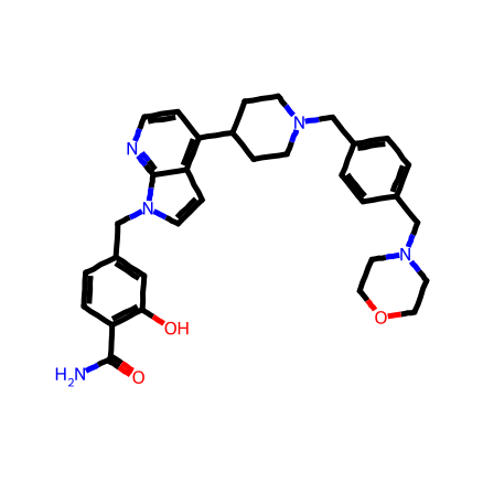 NC(=O)c1ccc(Cn2ccc3c(C4CCN(Cc5ccc(CN6CCOCC6)cc5)CC4)ccnc32)cc1O